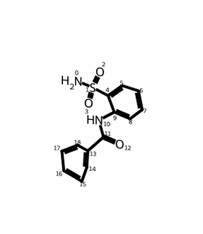 NS(=O)(=O)c1ccccc1NC(=O)c1ccccc1